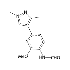 COc1nc(-c2cn(C)nc2C)ccc1NC=O